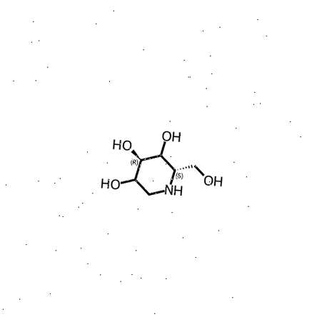 OC[C@@H]1NCC(O)[C@@H](O)C1O